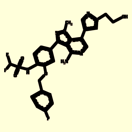 Cn1nc(-c2ccc(NS(=O)(=O)C(F)F)c(OCc3ccc(F)cc3)c2)c2c(N)ncc(-c3cnn(CCO)c3)c21